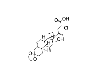 C=C1C[C@@]2(C)[C@@H](CC[C@@]2(O)C(=C)C[C@@H](Cl)C(=O)O)[C@@H]2CC=C3CC4(CC[C@@H]3[C@@H]12)OCCO4